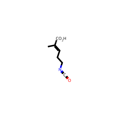 CC(=CCCN=C=O)C(=O)O